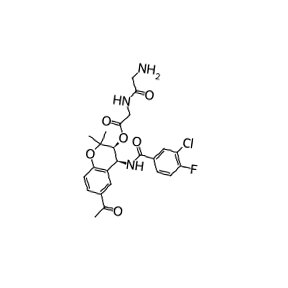 CC(=O)c1ccc2c(c1)[C@H](NC(=O)c1ccc(F)c(Cl)c1)[C@H](OC(=O)CNC(=O)CN)C(C)(C)O2